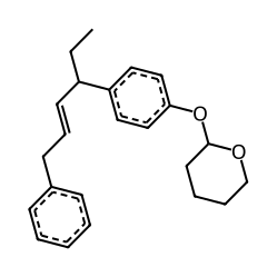 CCC(/C=C/Cc1ccccc1)c1ccc(OC2CCCCO2)cc1